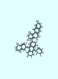 c1ccc(-c2c3ccccc3c(-c3ccc4ccccc4c3)c3cc(-c4cccc5c4ccc4cc6ccccc6cc45)ccc23)cc1